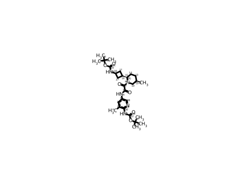 Cc1cc(NC(=O)C(=O)N2C[C@H](C)CC[C@@H]2C2CC(NC(=O)OC(C)(C)C)C2)cnc1NC(=O)OC(C)(C)C